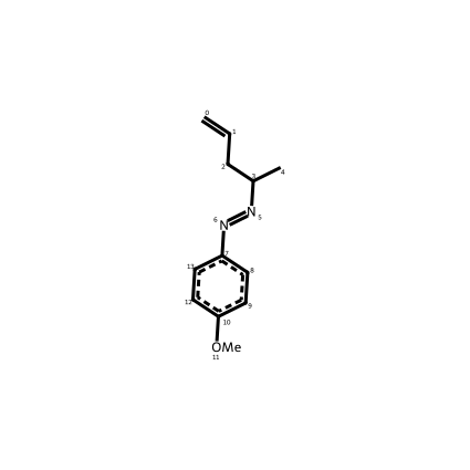 C=CCC(C)/N=N/c1ccc(OC)cc1